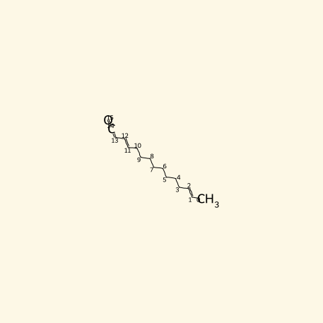 CC=CCCCCCCCCC=CC=C=O